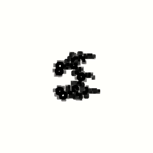 CN[C@@H](C)C(=O)N[C@H](C(=O)N1C[C@@H](NC(=O)c2cc(N)cc(C(=O)N[C@H]3C[C@@H](C(=O)N[C@@H]4CCCc5ccccc54)N(C(=O)[C@@H](NC(=O)[C@H](C)NC)C(C)C)C3)c2)C[C@H]1C(=O)N[C@@H]1CCCc2ccccc21)C(C)C